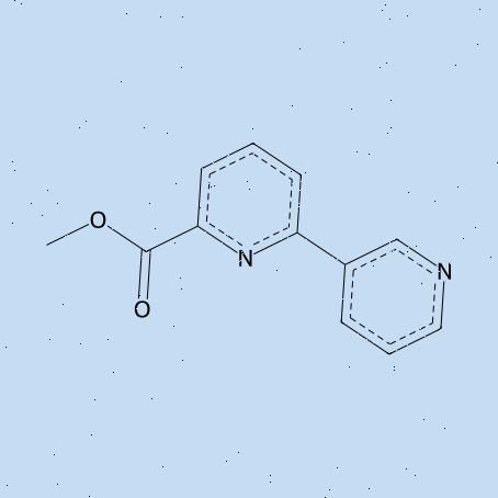 COC(=O)c1cccc(-c2cccnc2)n1